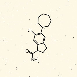 NC(=O)C1CCc2cc(C3CCCCCC3)c(Cl)cc21